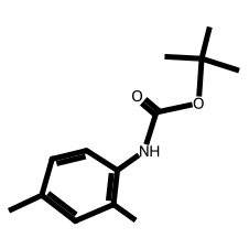 Cc1ccc(NC(=O)OC(C)(C)C)c(C)c1